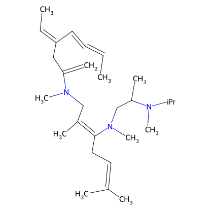 C=C(C/C(C=C=CC)=C/C)N(C)C/C(C)=C(/CC=C(C)C)N(C)CC(C)N(C)C(C)C